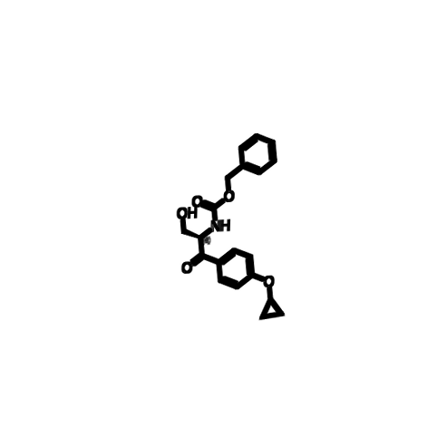 O=C(N[C@H](CO)C(=O)c1ccc(OC2CC2)cc1)OCc1ccccc1